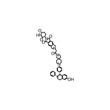 O=C1CCC(N2C(=O)c3cc4c(cc3C2=O)CN(CC(=O)N2CCC3(CCN(c5ccc([C@@H]6c7ccc(O)cc7CC[C@@H]6c6ccccc6)cc5)CC3)C2)C4)C(=O)N1